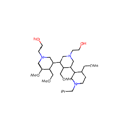 COCC1CCN(CC(C)C)CC1C1CN(CCO)CC(C2CN(CCO)CC(OC)C2COC)C1COC